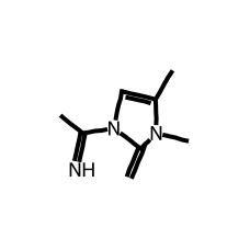 C=C1N(C)C(C)=CN1C(C)=N